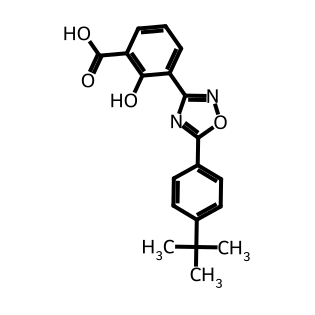 CC(C)(C)c1ccc(-c2nc(-c3cccc(C(=O)O)c3O)no2)cc1